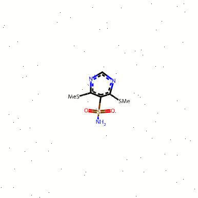 CSc1ncnc(SC)c1S(N)(=O)=O